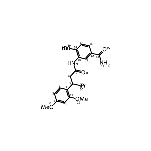 COc1ccc(C(CC(=O)Nc2cc(C(N)=O)ccc2C(C)(C)C)C(C)C)c(OC)c1